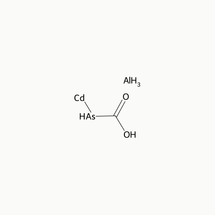 O=C(O)[AsH][Cd].[AlH3]